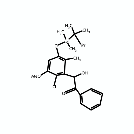 COc1cc(O[Si](C)(C)C(C)(C)C(C)C)c(C)c(C(O)C(=O)c2ccccc2)c1Cl